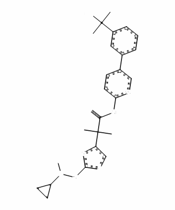 CC(C)(O)c1cccc(-c2ccc(NC(=O)C(C)(C)c3csc(N[S+]([O-])C4CC4)n3)nc2)c1